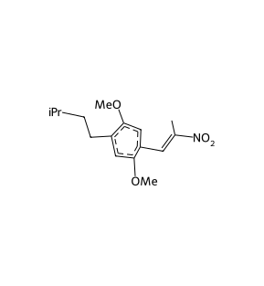 COc1cc(CCC(C)C)c(OC)cc1/C=C(\C)[N+](=O)[O-]